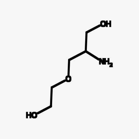 NC(CO)COCCO